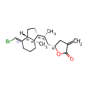 C=C1C[C@@H](C[C@@H](C)[C@H]2CC[C@H]3/C(=C/Br)CCC[C@]23C)OC1=O